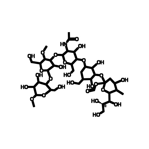 COC1OC(CO)C(OC2OC(CO)C(OC)C(OC3OC(CO)C(OC4CC(CO)C(O)C(OC5(OC=O)CC(O)C(C)C(C(O)[C@@H](O)CO)O5)C4O)C(O)C3NC(C)=O)C2O)C(O)C1O